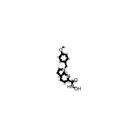 COc1ccc(Cn2ccc3ccc(C(=O)NO)nc32)cc1